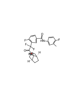 Cc1cc(NC(=O)c2ccc(F)c(C(F)(F)C(=O)N3C[C@H]4CC[C@@H](C3)[C@@H]4O)c2)ccc1F